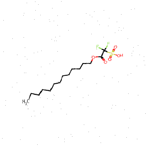 CCCCCCCCCCCCCOC(=O)C(F)(F)S(=O)(=O)O